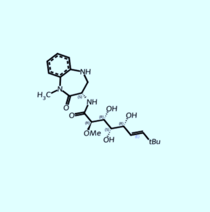 CO[C@@H](C(=O)N[C@H]1CNc2ccccc2N(C)C1=O)[C@H](O)[C@@H](O)[C@H](O)/C=C/C(C)(C)C